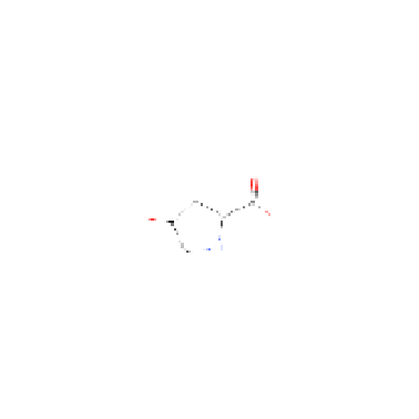 O=C(O)[C]1CC(O)CN1